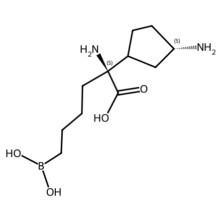 N[C@H]1CCC([C@@](N)(CCCCB(O)O)C(=O)O)C1